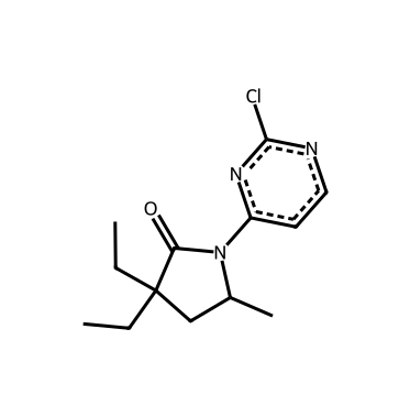 CCC1(CC)CC(C)N(c2ccnc(Cl)n2)C1=O